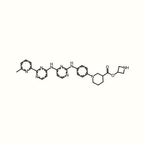 Cc1cccc(-c2nccc(Nc3ccnc(Nc4ccc(N5CCCC(C(=O)OC6CNC6)C5)cc4)n3)n2)n1